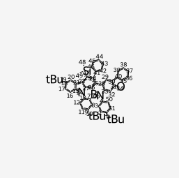 CC(C)(C)c1ccc(N2B3c4cc(C(C)(C)C)ccc4-n4c5ccc(C(C)(C)C)cc5c5c6c(c(c3c54)-c3cc4c(cc32)oc2ccccc24)-c2ccccc2[Si]6(C)C)cc1